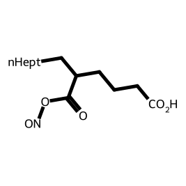 CCCCCCCCC(CCCC(=O)O)C(=O)ON=O